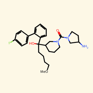 COCCCCC(O)(c1ccccc1-c1ccc(F)cc1)C1CCCN(C(=O)N2CCC(N)C2)C1